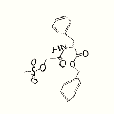 CS(=O)(=O)OCC(=O)NC(Cc1ccccc1)C(=O)OCc1ccccc1